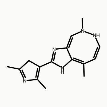 CC1=NC(C)=C(c2nc3cn(C)[nH]ccc(C)c3[nH]2)C1